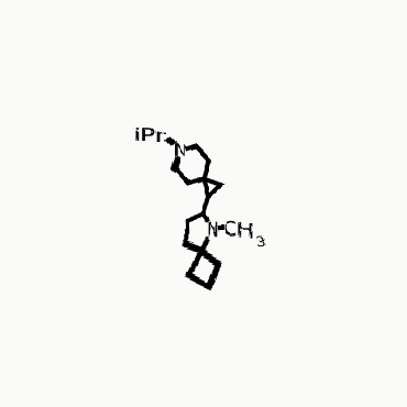 CC(C)N1CCC2(CC1)CC2C1CCC2(CCC2)N1C